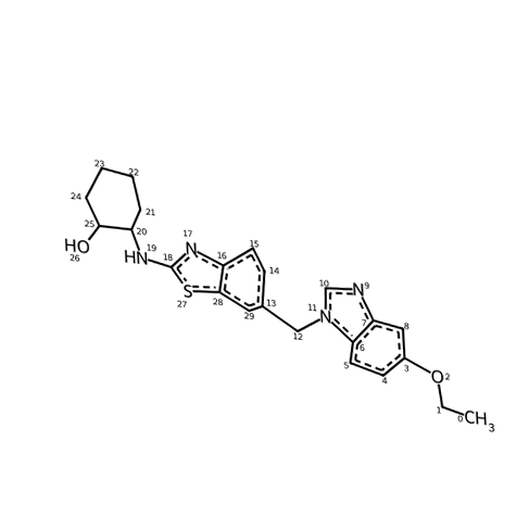 CCOc1ccc2c(c1)ncn2Cc1ccc2nc(NC3CCCCC3O)sc2c1